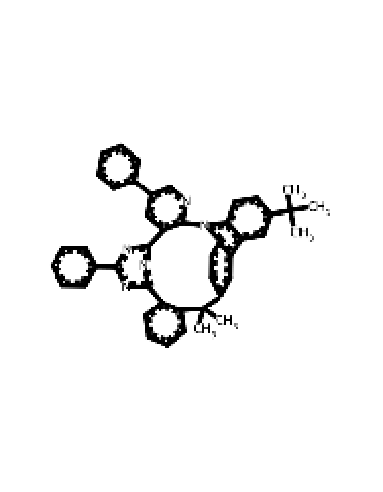 CC(C)(C)c1ccc2c(c1)c1cc3ccc1n2-c1ncc(-c2ccccc2)cc1-c1nc(-c2ccccc2)nc(n1)-c1ccccc1C3(C)C